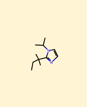 CCC(C)(C)c1nccn1C(C)C